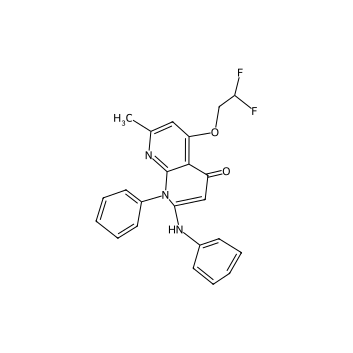 Cc1cc(OCC(F)F)c2c(=O)cc(Nc3ccccc3)n(-c3ccccc3)c2n1